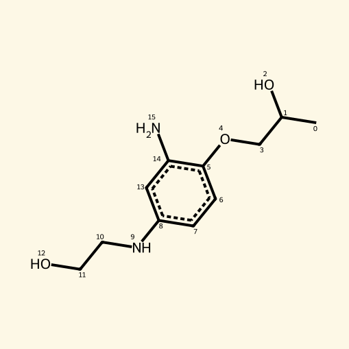 CC(O)COc1ccc(NCCO)cc1N